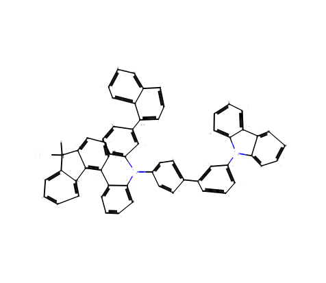 CC1(C)c2ccccc2-c2c(-c3ccccc3N(c3ccc(-c4cccc(-n5c6ccccc6c6ccccc65)c4)cc3)c3cccc(-c4cccc5ccccc45)c3)cccc21